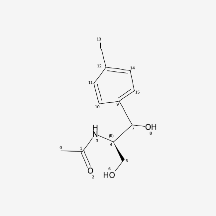 CC(=O)N[C@H](CO)C(O)c1ccc(I)cc1